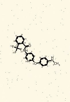 CNc1ccc(Oc2ccc(NC(=O)c3ccccc3C(F)(F)F)cn2)cc1